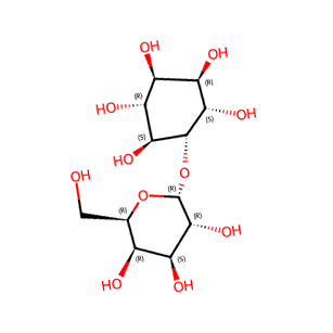 OC[C@H]1O[C@H](O[C@H]2[C@@H](O)[C@H](O)[C@H](O)[C@@H](O)[C@@H]2O)[C@H](O)[C@@H](O)[C@H]1O